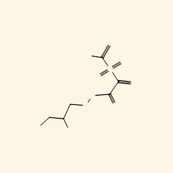 C=C(C)S(=O)(=O)C(=C)C(=O)OOCC(O)CO